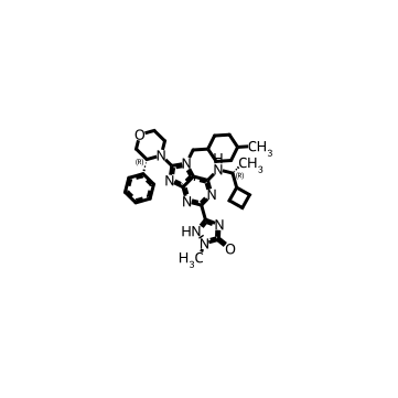 CC1CCC(Cn2c(N3CCOC[C@H]3c3ccccc3)nc3nc(-c4nc(=O)n(C)[nH]4)nc(N[C@H](C)C4CCC4)c32)CC1